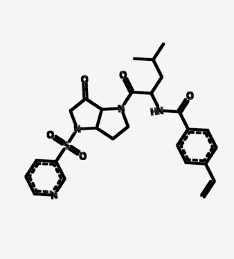 C=Cc1ccc(C(=O)NC(CC(C)C)C(=O)N2CCC3C2C(=O)CN3S(=O)(=O)c2cccnc2)cc1